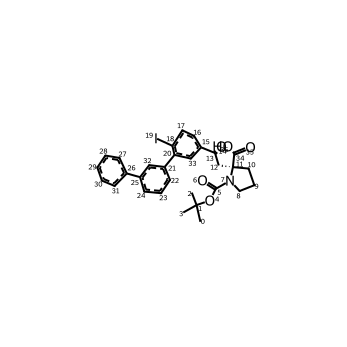 CC(C)(C)OC(=O)N1CCC[C@]1(CC(=O)c1ccc(I)c(-c2cccc(-c3ccccc3)c2)c1)C(=O)O